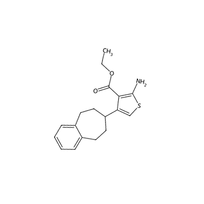 CCOC(=O)c1c(C2CCc3ccccc3CC2)csc1N